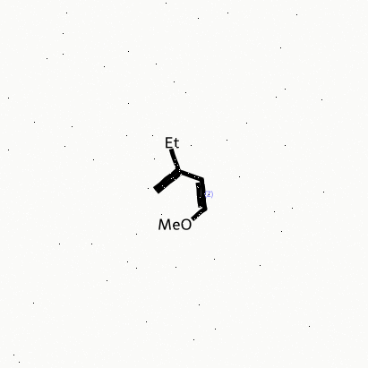 C=C(/C=C\OC)CC